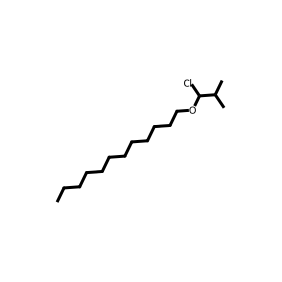 CCCCCCCCCCCCOC(Cl)C(C)C